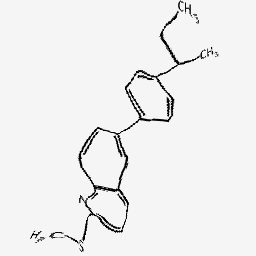 CCC(C)c1ccc(-c2ccc3nc(SC)ccc3c2)cc1